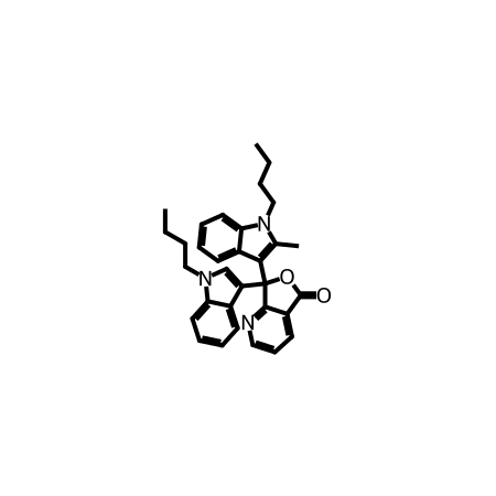 CCCCn1cc(C2(c3c(C)n(CCCC)c4ccccc34)OC(=O)c3cccnc32)c2ccccc21